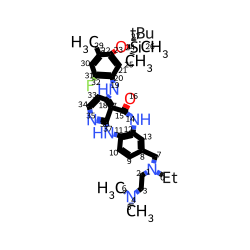 CCN(CCN(C)C)Cc1ccc2c(c1)NC(=O)c1c(Nc3cc(O[Si](C)(C)C(C)(C)C)c(C)cc3F)ccnc1N2